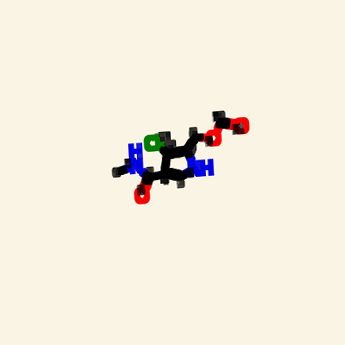 CNC(=O)c1c[nH]c(COC=O)c1Cl